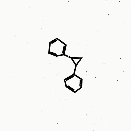 c1ccc([C]2CC2c2ccccc2)cc1